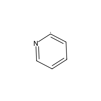 [c]1ccccn1